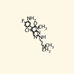 Cc1cc(F)c(N)cc1-c1cc2cnc(NCCCN(C)C)nc2n(C)c1=O